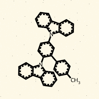 Cc1ccc(-c2cc(-n3c4ccccc4c4ccccc43)ccc2-n2c3ccccc3c3ccccc32)cc1